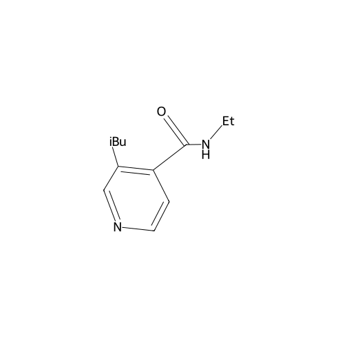 CCNC(=O)c1ccncc1C(C)CC